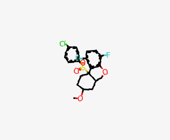 COC1CCC2(S(=O)(=O)c3ccc(Cl)cc3)c3c(F)ccc(F)c3OCC2C1